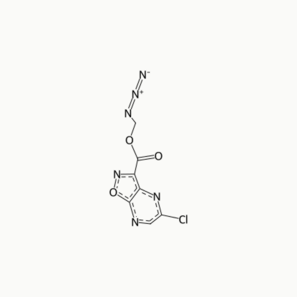 [N-]=[N+]=NCOC(=O)c1noc2ncc(Cl)nc12